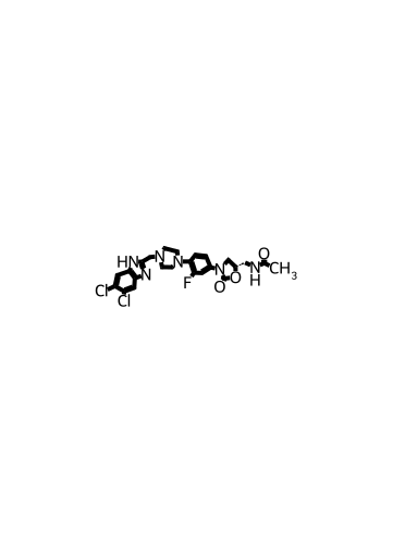 CC(=O)NC[C@H]1CN(c2ccc(N3CCN(Cc4nc5cc(Cl)c(Cl)cc5[nH]4)CC3)c(F)c2)C(=O)O1